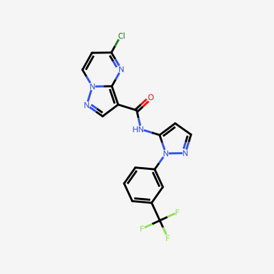 O=C(Nc1ccnn1-c1cccc(C(F)(F)F)c1)c1cnn2ccc(Cl)nc12